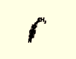 CCCCC[C@H]1CC[C@H](C2COC(c3ccc(C#N)cc3)OC2)CC1